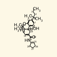 CCCC(C)(C)c1cc(O)c2c(c1)OC(C)(C)[C@@H]1CC=C(C(=O)NC3CCCC3)C[C@@H]21